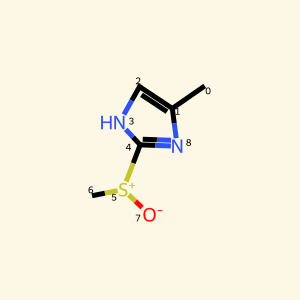 Cc1c[nH]c([S+](C)[O-])n1